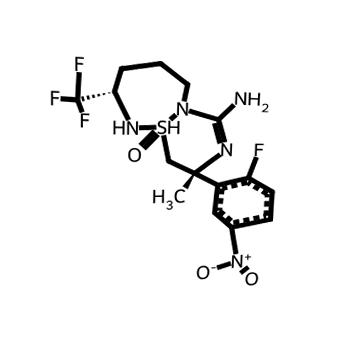 C[C@@]1(c2cc([N+](=O)[O-])ccc2F)C[SH]2(=O)N[C@H](C(F)(F)F)CCCN2C(N)=N1